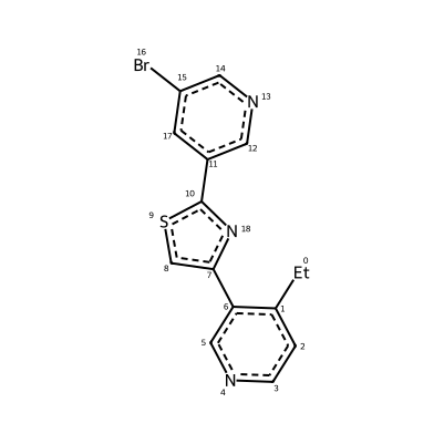 CCc1ccncc1-c1csc(-c2cncc(Br)c2)n1